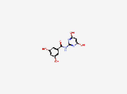 O=C(Nc1nc(O)cc(O)n1)c1cc(O)cc(O)c1